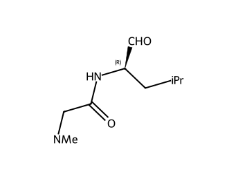 CNCC(=O)N[C@@H](C=O)CC(C)C